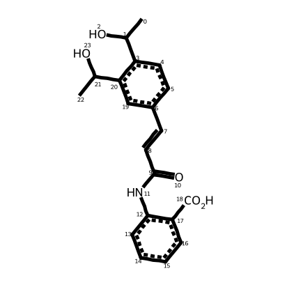 CC(O)c1ccc(/C=C/C(=O)Nc2ccccc2C(=O)O)cc1C(C)O